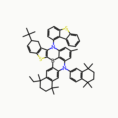 CCC1(C)CCC(C)(C)c2cc3c(cc21)B1c2sc4c(c2N(c2cccc5sc6ccccc6c25)c2cc(C)cc(c21)N3c1ccc2c(c1)C(C)(C)CCC2(C)C)CC(C(C)(C)C)C=C4